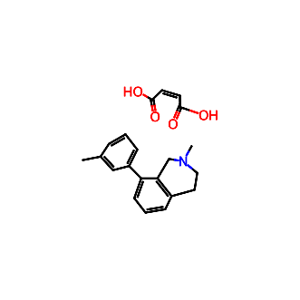 Cc1cccc(-c2cccc3c2CN(C)CC3)c1.O=C(O)/C=C\C(=O)O